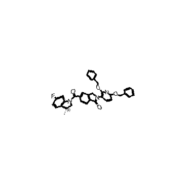 C[C@H]1CN(C(=O)c2ccc3c(c2)CN(c2ccc(OCc4ccccc4)nc2OCc2ccccc2)C3=O)c2cc(F)ccc21